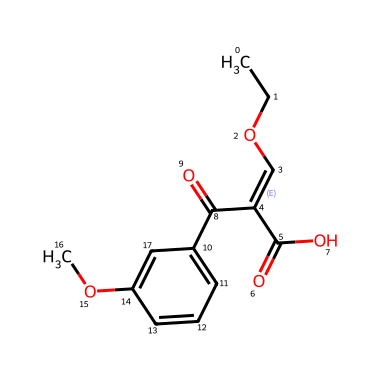 CCO/C=C(/C(=O)O)C(=O)c1cccc(OC)c1